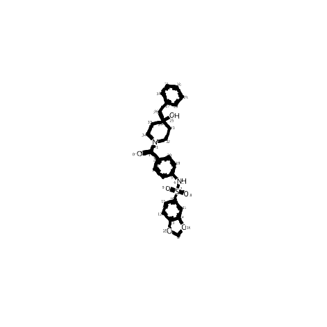 O=C(c1ccc(NS(=O)(=O)c2ccc3c(c2)OCO3)cc1)N1CCC(O)(Cc2ccccc2)CC1